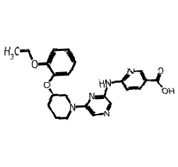 CCOc1ccccc1O[C@@H]1CCCN(c2cncc(Nc3ccc(C(=O)O)cn3)n2)C1